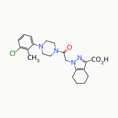 Cc1c(Cl)cccc1N1CCN(C(=O)Cn2nc(C(=O)O)c3c2CCCC3)CC1